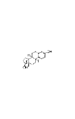 C[C@]12CCC3(I)c4ccc(O)cc4CC[C@H]3C1(I)CC[C@@H]2O